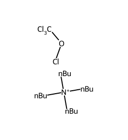 CCCC[N+](CCCC)(CCCC)CCCC.ClOC(Cl)(Cl)Cl